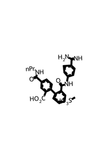 CCCNC(=O)c1ccc(-c2ccccc2C(=O)Nc2ccc(C(=N)N)cc2)c(C(=O)O)c1.CS(=O)(=O)O